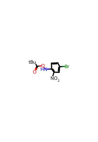 CC(C)(C)C(=O)ONc1ccc(Br)cc1[N+](=O)[O-]